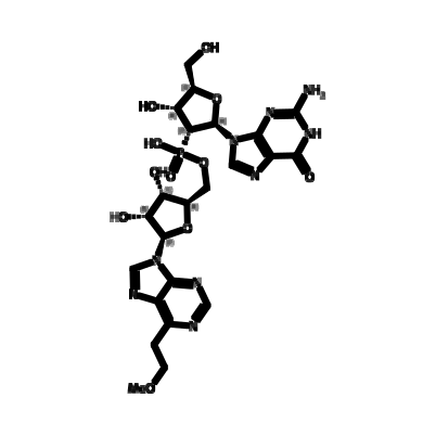 COCCc1ncnc2c1ncn2[C@@H]1O[C@H](COP(=O)(O)[C@@H]2[C@H](O)[C@@H](CO)O[C@H]2n2cnc3c(=O)[nH]c(N)nc32)[C@@H](O)[C@H]1O